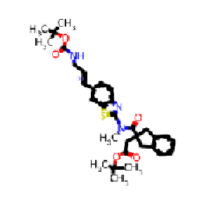 CN(C(=O)C1(CC(=O)OC(C)(C)C)Cc2ccccc2C1)c1nc2ccc(/C=C/CNC(=O)OC(C)(C)C)cc2s1